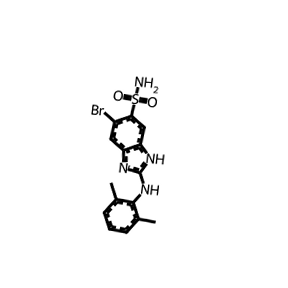 Cc1cccc(C)c1Nc1nc2cc(Br)c(S(N)(=O)=O)cc2[nH]1